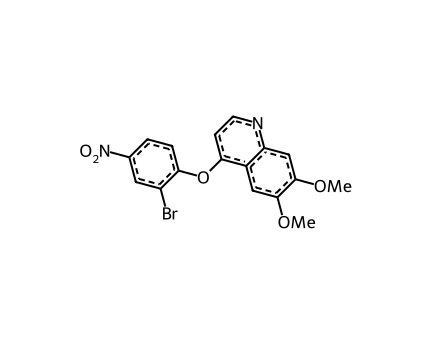 COc1cc2nccc(Oc3ccc([N+](=O)[O-])cc3Br)c2cc1OC